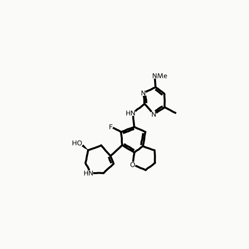 CNc1cc(C)nc(Nc2cc3c(c(C4=CCNC[C@@H](O)C4)c2F)OCCC3)n1